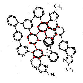 Cc1cn2ccc3cc(-c4ccccc4-c4cc(-c5ccccc5-c5ccc(-c6ccnc(-c7ccc(-c8ccccc8-c8cc(-c9ccccc9-c9ccc%10c(ccn%11cc(C)nc%10%11)c9)cc(-c9ccccc9-c9ccc%10c(ccn%11cc(C)nc%10%11)c9)c8)cc7)n6)cc5)cc(-c5ccccc5-c5ccc6c(ccn7cc(C)nc67)c5)c4)ccc3c2n1